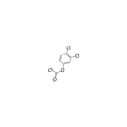 O=C(Cl)Oc1ccc(Cl)c(Cl)c1